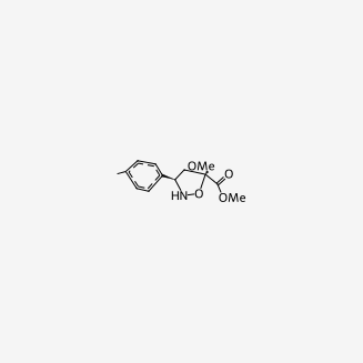 COC(=O)[C@@]1(OC)C[C@H](c2ccc(C)cc2)NO1